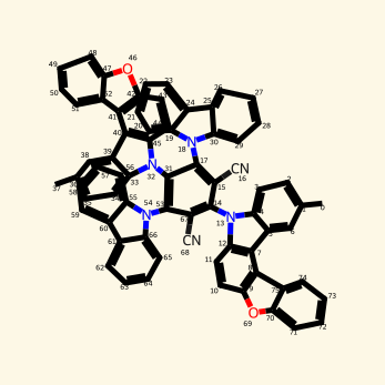 Cc1ccc2c(c1)c1c3c(ccc1n2-c1c(C#N)c(-n2c4ccccc4c4ccccc42)c(-n2c4ccc(C)cc4c4c5c(ccc42)oc2ccccc25)c(-n2c4ccccc4c4ccccc42)c1C#N)oc1ccccc13